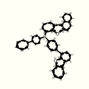 c1ccc(-c2ccc(N(c3ccc(-c4cccc5c4oc4ccccc45)cc3)c3cccc4c3oc3ccc5ccccc5c34)cc2)cc1